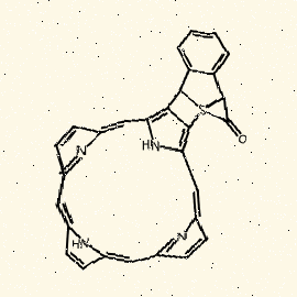 O=C1C2c3ccccc3C3c4c(c5cc6nc(cc7ccc(cc8nc(cc4[nH]5)C=C8)[nH]7)C=C6)S123